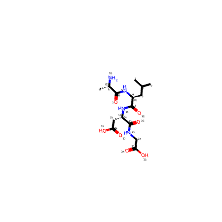 CC(C)C[C@H](NC(=O)[C@H](C)N)C(=O)N[C@@H](CC(=O)O)C(=O)NCC(=O)O